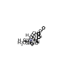 CC(C)(C)OC(=O)/N=C(/NC(=O)OC(C)(C)C)N1CCC[C@H]1c1nc(-c2ccc3cc(OCC4CCCC4)ccc3c2)no1